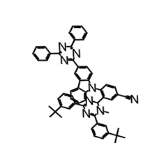 CN1C(c2cccc(C(C)(C)C)c2)=NC(c2cccc(C(C)(C)C)c2)=NC1c1cc(C#N)ccc1-n1c2ccccc2c2cc(-c3nc(-c4ccccc4)nc(-c4ccccc4)n3)ccc21